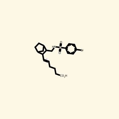 O=C(O)CCC/C=C/C1C2CCC(C2)C1CNS(=O)(=O)c1ccc(Br)cc1